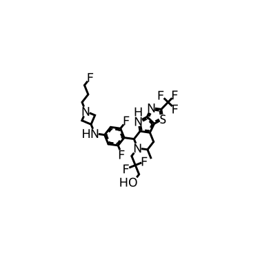 CC1Cc2c([nH]c3nc(C(F)(F)F)sc23)C(c2c(F)cc(NC3CN(CCCF)C3)cc2F)N1CC(F)(F)CO